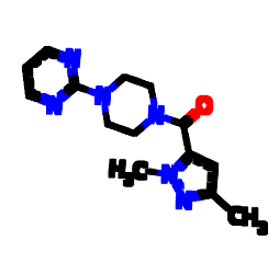 Cc1cc(C(=O)N2CCN(c3ncccn3)CC2)n(C)n1